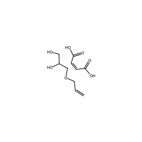 C=CCOCC(O)CO.O=C(O)/C=C\C(=O)O